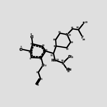 C=CCOc1cc(Cl)c(Cl)cc1C(N[S+]([O-])C(C)(C)C)C1CCN(CC(F)F)CC1